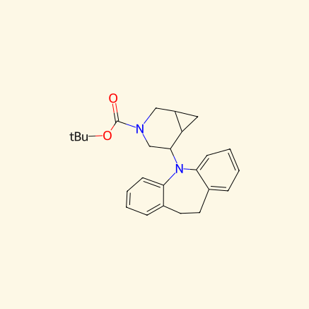 CC(C)(C)OC(=O)N1CC2CC2C(N2c3ccccc3CCc3ccccc32)C1